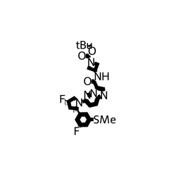 CSc1cc(F)cc([C@H]2C[C@H](F)CN2c2ccc3ncc(C(=O)NC4CN(C(=O)OC(C)(C)C)C4)n3n2)c1